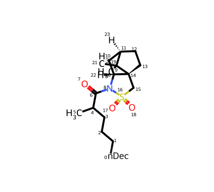 CCCCCCCCCCCCCC(C)C(=O)N1[C@@H]2C[C@H]3CC[C@]2(CS1(=O)=O)C3(C)C